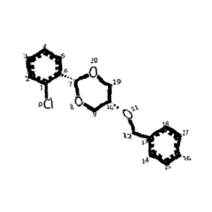 Clc1ccccc1[C@H]1OC[C@@H](OCc2ccccc2)CO1